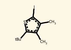 Cc1c(I)sc(C(C)(C)C)c1C